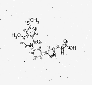 CSc1ncc2c(n1)N(C)CCN(c1cccc(-n3cc(CNC(=O)O)nn3)c1)C2=O